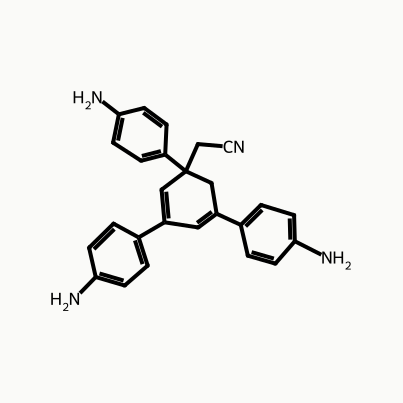 N#CCC1(c2ccc(N)cc2)C=C(c2ccc(N)cc2)C=C(c2ccc(N)cc2)C1